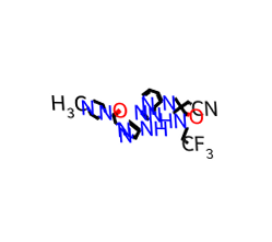 CN1CCN(C(=O)Cn2cc(Nc3nc4c(N5CC(CC#N)(C(=O)NCCC(F)(F)F)C5)cccn4n3)cn2)CC1